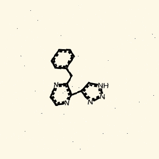 c1ccc(Cc2nccnc2-c2c[nH]nn2)cc1